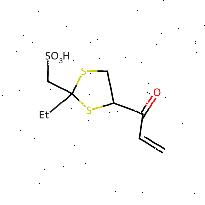 C=CC(=O)C1CSC(CC)(CS(=O)(=O)O)S1